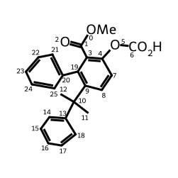 COC(=O)c1c(OC(=O)O)ccc(C(C)(C)c2ccccc2)c1-c1ccccc1